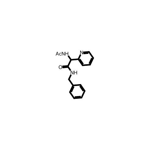 CC(=O)NC(C(=O)NCc1ccccc1)c1ccccn1